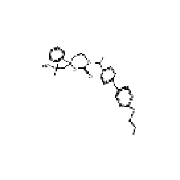 C[C@@H](c1ccc(-c2ccc(OCCF)nc2)cc1)N1CCC(CC(C)(C)O)(c2ccccc2)OC1=O